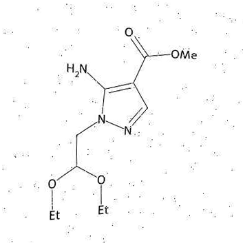 CCOC(Cn1ncc(C(=O)OC)c1N)OCC